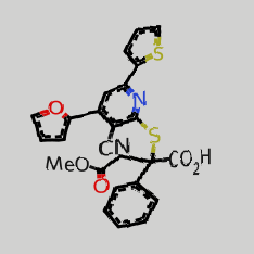 COC(=O)CC(Sc1nc(-c2cccs2)cc(-c2ccco2)c1C#N)(C(=O)O)c1ccccc1